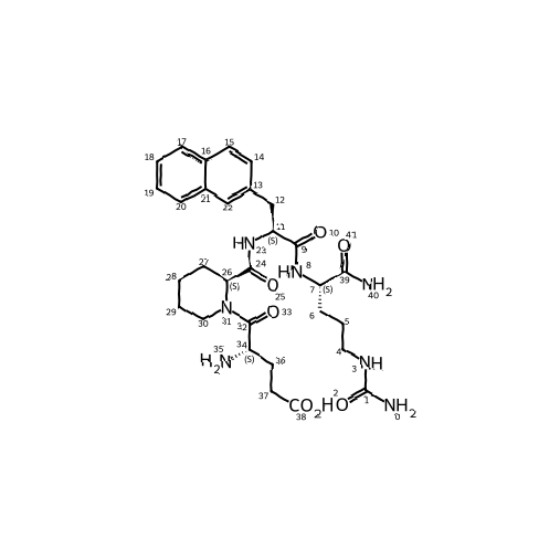 NC(=O)NCCC[C@H](NC(=O)[C@H](Cc1ccc2ccccc2c1)NC(=O)[C@@H]1CCCCN1C(=O)[C@@H](N)CCC(=O)O)C(N)=O